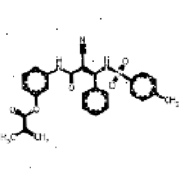 C=C(C)C(=O)Oc1cccc(NC(=O)/C(C#N)=C(/NS(=O)(=O)c2ccc(C)cc2)c2ccccc2)c1